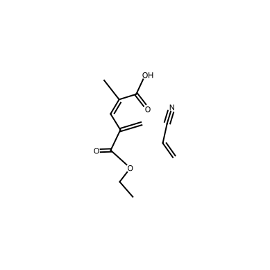 C=C(C=C(C)C(=O)O)C(=O)OCC.C=CC#N